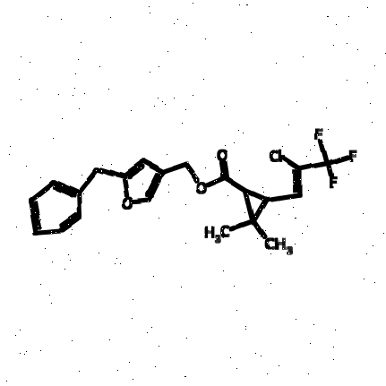 CC1(C)C(C=C(Cl)C(F)(F)F)C1C(=O)OCc1coc(Cc2ccccc2)c1